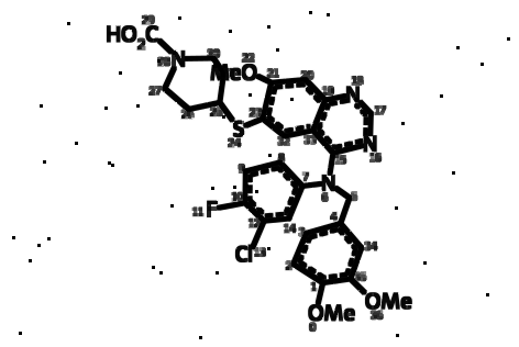 COc1ccc(CN(c2ccc(F)c(Cl)c2)c2ncnc3cc(OC)c(SC4CCN(C(=O)O)CC4)cc23)cc1OC